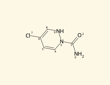 NC(=O)N1C=CC(Cl)=CN1